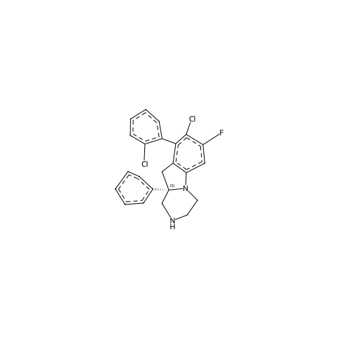 Fc1cc2c(c(-c3ccccc3Cl)c1Cl)C[C@]1(c3ccccc3)CNCCN21